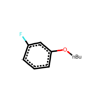 CCCCOc1cc[c]c(F)c1